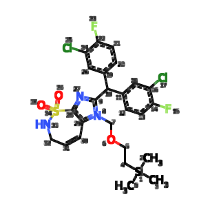 C[Si](C)(C)CCOCn1c(C(c2ccc(F)c(Cl)c2)c2ccc(F)c(Cl)c2)nc2c1C=CCNS2(=O)=O